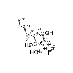 C/C=C\C(C)=C\C(C)(C)c1c(C)c(O)c(OC(F)(F)F)c(CO)c1O